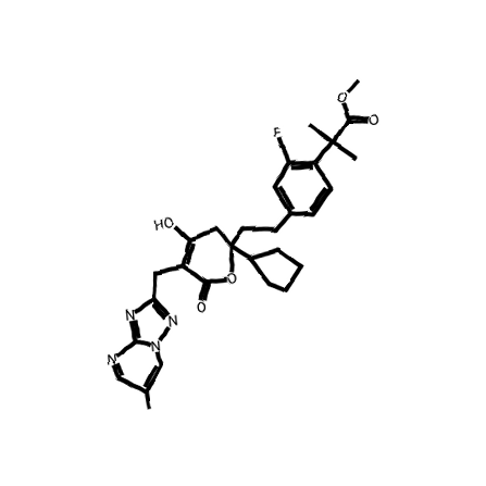 COC(=O)C(C)(C)c1ccc(CCC2(C3CCCC3)CC(O)=C(Cc3nc4ncc(C)cn4n3)C(=O)O2)cc1F